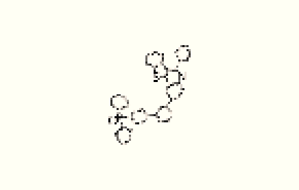 O=P(c1ccccc1)(c1ccccc1)c1ccc(-c2cccc(-c3ccc4nc(-c5ccccc5)c5c6ccccc6sc5c4c3)c2)cc1